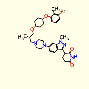 Cc1c(Br)cccc1OC1CCC(OC[C@H](C)CN2CCN(c3ccc4c(C5CCC(=O)NC5=O)nn(C)c4c3)CC2)CC1